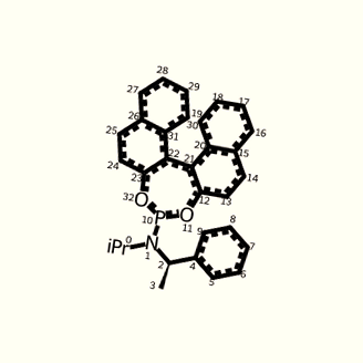 CC(C)N([C@H](C)c1ccccc1)p1oc2ccc3ccccc3c2c2c(ccc3ccccc32)o1